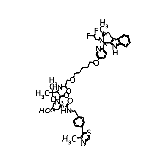 Cc1ncsc1-c1ccc(CNC(=O)[C@@H]2C[C@@H](O)CN2C(=O)C(NC(=O)COCCCCCOc2ccc([C@@H]3c4[nH]c5ccccc5c4C[C@@H](C)N3CC(F)F)nc2)C(C)(C)C)cc1